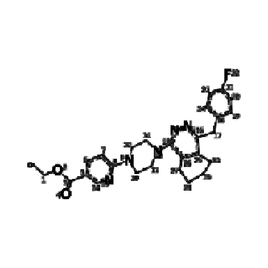 CCOC(=O)c1ccc(N2CCN(c3nnc(Cc4ccc(F)cc4)c4c3CCCC4)CC2)nc1